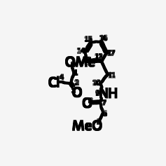 COCC(=O)Cl.COCC(=O)NCCc1ccccc1